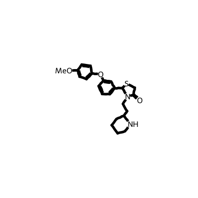 COc1ccc(Oc2cccc(C3SCC(=O)N3CCC3CCCCN3)c2)cc1